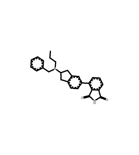 CCCN(Cc1ccccc1)C1Cc2ccc(-c3cccc4c3C(=O)NC4=O)cc2C1